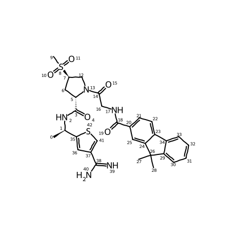 C[C@@H](NC(=O)[C@@H]1C[C@@H](S(C)(=O)=O)CN1C(=O)CNC(=O)c1ccc2c(c1)C(C)(C)c1ccccc1-2)c1cc(C(=N)N)cs1